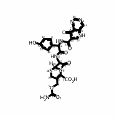 NC(=O)OCC1=C(C(=O)O)N2C(=O)C(NC(=O)C(NC(=O)c3c[nH]c4cncnc4c3=O)c3ccc(O)cc3)[C@@H]2SC1